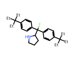 CCC(CC)(CC)c1ccc(C(F)(c2ccc(C(CC)(CC)CC)cc2)C2CCCN2)cc1